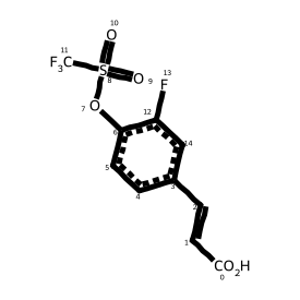 O=C(O)C=Cc1ccc(OS(=O)(=O)C(F)(F)F)c(F)c1